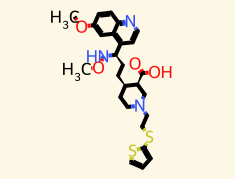 CON[C@H](CC[C@@H]1CCN(CCSc2cccs2)C[C@@H]1C(=O)O)c1ccnc2ccc(OC)cc12